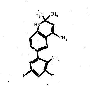 CC1=CC(C)(C)Nc2ccc(-c3cc(F)cc(F)c3N)cc21